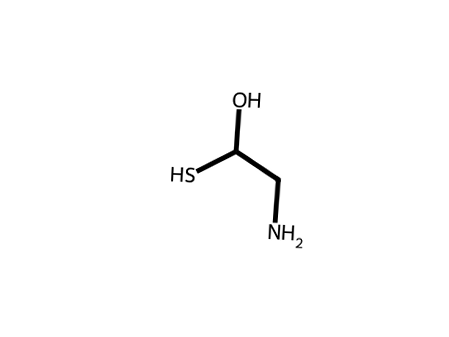 NCC(O)S